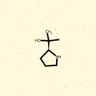 CC(O)(I)[C@@H]1CCCN1